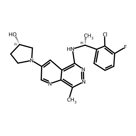 Cc1nnc(N[C@H](C)c2cccc(F)c2Cl)c2cc(N3CC[C@H](O)C3)cnc12